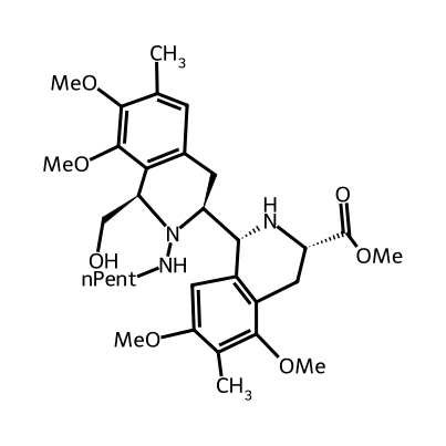 CCCCCNN1[C@@H](CO)c2c(cc(C)c(OC)c2OC)C[C@H]1[C@@H]1N[C@H](C(=O)OC)Cc2c1cc(OC)c(C)c2OC